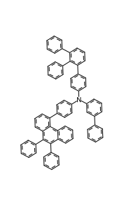 c1ccc(-c2cccc(N(c3ccc(-c4cccc(-c5ccccc5)c4-c4ccccc4)cc3)c3ccc(-c4cccc5c(-c6ccccc6)c(-c6ccccc6)c6ccccc6c45)cc3)c2)cc1